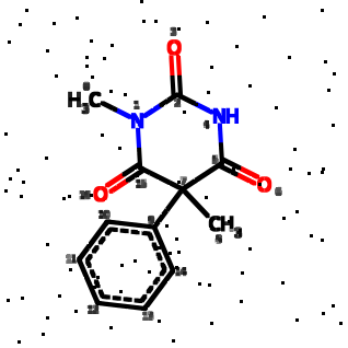 CN1C(=O)NC(=O)C(C)(c2ccccc2)C1=O